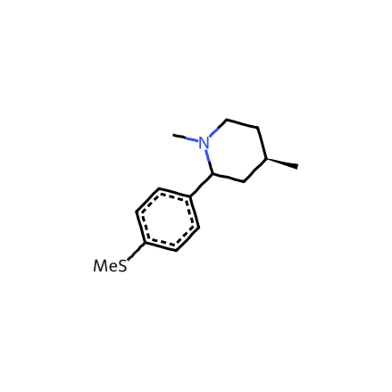 CSc1ccc(C2C[C@H](C)CCN2C)cc1